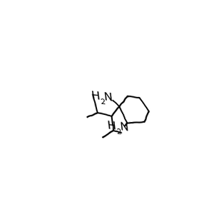 CC(C)C(C(C)C)C1(N)CCCCC1N